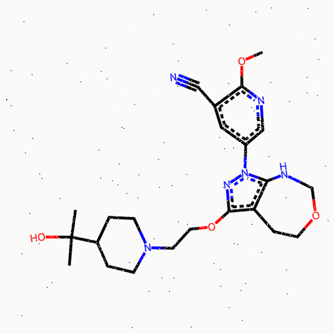 COc1ncc(-n2nc(OCCN3CCC(C(C)(C)O)CC3)c3c2NCOCC3)cc1C#N